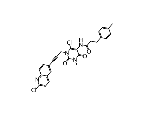 Cc1ccc(CCC(=O)Nc2c(Cl)n(CC#Cc3ccc4nc(Cl)ccc4c3)c(=O)n(C)c2=O)cc1